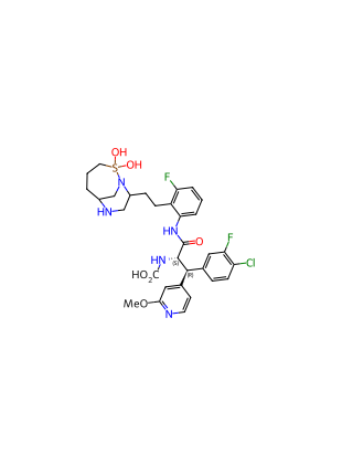 COc1cc([C@H](c2ccc(Cl)c(F)c2)[C@H](NC(=O)O)C(=O)Nc2cccc(F)c2CCC2CNC3CCCS(O)(O)N2C3)ccn1